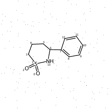 O=S1(=O)CCCC(c2ccccc2)N1